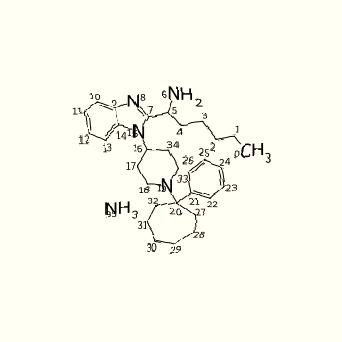 CCCCCC(N)c1nc2ccccc2n1C1CCN(C2(c3ccccc3)CCCCCC2)CC1.N